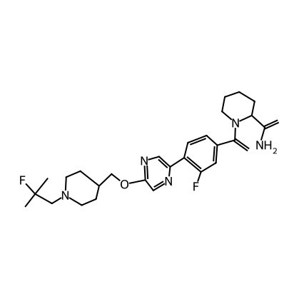 C=C(N)C1CCCCN1C(=C)c1ccc(-c2cnc(OCC3CCN(CC(C)(C)F)CC3)cn2)c(F)c1